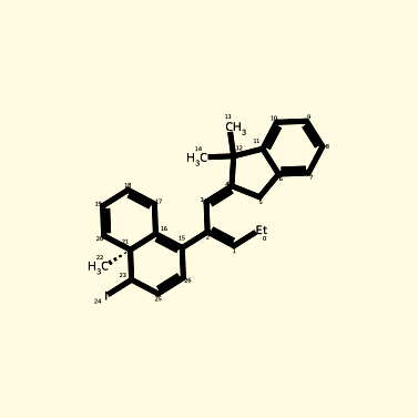 CC/C=C(\C=C1/Cc2ccccc2C1(C)C)C1=C2C=CC=C[C@]2(C)C(I)C=C1